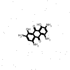 Nc1cc(N)c2c(c1O)C(=O)c1c(O)c(N)cc(N)c1C2=O